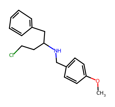 COc1ccc(CNC(CCCl)Cc2ccccc2)cc1